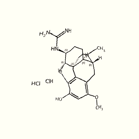 COc1cc(O)c2c3c1C[C@@H]1[C@@H]4CC[C@H](NC(=N)N)[C@H](O2)[C@]34CCN1C.Cl.Cl